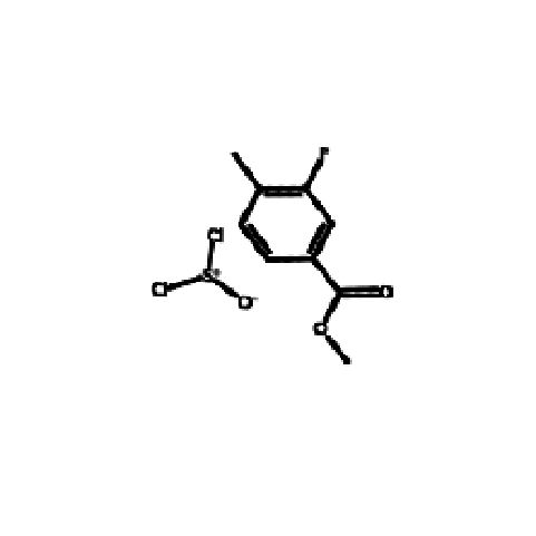 COC(=O)c1ccc(C)c(F)c1.[O-][S+](Cl)Cl